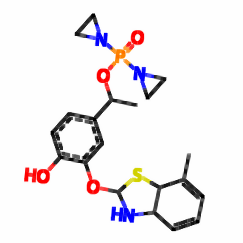 CC1=CC=CC2NC(Oc3cc(C(C)OP(=O)(N4CC4)N4CC4)ccc3O)SC12